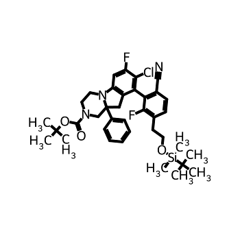 CC(C)(C)OC(=O)N1CCN2c3cc(F)c(Cl)c(-c4c(C#N)ccc(CCO[Si](C)(C)C(C)(C)C)c4F)c3CC2(c2ccccc2)C1